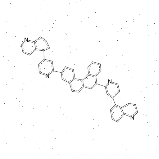 c1cc(-c2ccnc(-c3ccc4c(ccc5cc(-c6cc(-c7cccc8ncccc78)ccn6)c6ccccc6c54)c3)c2)c2cccnc2c1